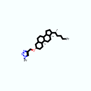 CC(C)CCC[C@@H](C)C1CCC2C3CCC4C[C@@H](OCc5cn(C(C)C)nn5)CC[C@]4(C)C3CC[C@@]21C